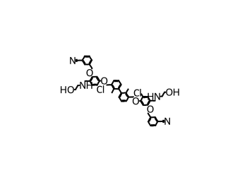 Cc1c(COc2cc(OCc3cccc(C#N)c3)c(CNCCO)cc2Cl)cccc1-c1cccc(COc2cc(OCc3cccc(C#N)c3)c(CNCCO)cc2Cl)c1C